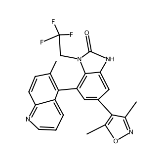 Cc1ccc2ncccc2c1-c1cc(-c2c(C)noc2C)cc2[nH]c(=O)n(CC(F)(F)F)c12